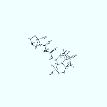 CO[C@@H]1CCC23CC[C@H]4C[C@@]4(C12)[C@H](OC(=O)NC(=O)[C@H]1CN2CC[C@@H]1C2)CC(C)(C)C(=O)[C@@H]3C